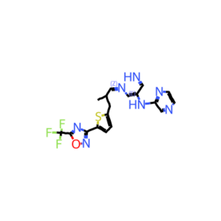 CC(/C=N\C=C(/C=N)Nc1cnccn1)Cc1ccc(-c2noc(C(F)(F)F)n2)s1